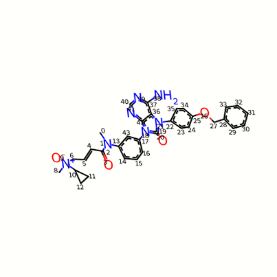 CN(C(=O)/C=C/C[N+](C)([O-])C1CC1)c1cccc(-n2c(=O)n(-c3ccc(OCc4ccccc4)cc3)c3c(N)ncnc32)c1